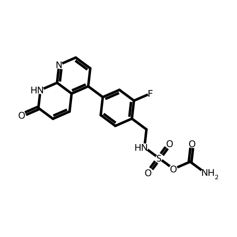 NC(=O)OS(=O)(=O)NCc1ccc(-c2ccnc3[nH]c(=O)ccc23)cc1F